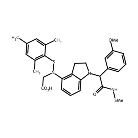 COc1cccc(C(C(=O)NSC)N2CCc3c(N(CC(=O)O)Sc4c(C)cc(C)cc4C)cccc32)c1